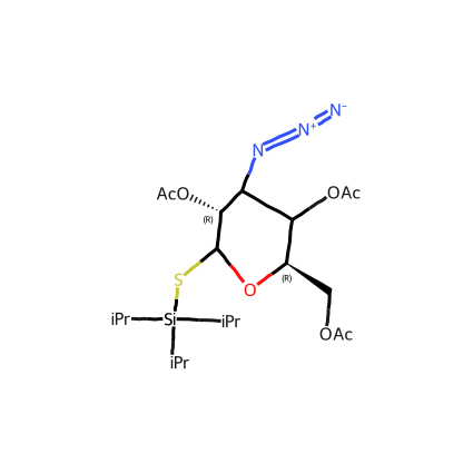 CC(=O)OC[C@H]1OC(S[Si](C(C)C)(C(C)C)C(C)C)[C@H](OC(C)=O)C(N=[N+]=[N-])C1OC(C)=O